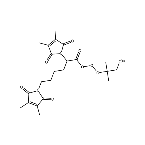 CC1=C(C)C(=O)N(CCCCC(C(=O)OOOC(C)(C)CC(C)(C)C)N2C(=O)C(C)=C(C)C2=O)C1=O